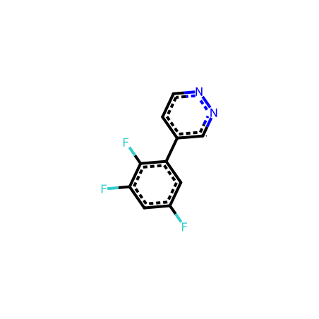 Fc1cc(F)c(F)c(-c2[c]nncc2)c1